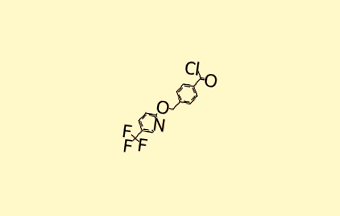 O=C(Cl)c1ccc(COc2ccc(C(F)(F)F)cn2)cc1